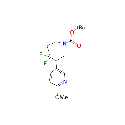 COc1ccc(C2CN(C(=O)OC(C)(C)C)CCC2(F)F)cn1